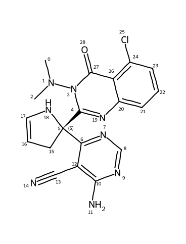 CN(C)n1c([C@@]2(c3ncnc(N)c3C#N)CC=CN2)nc2cccc(Cl)c2c1=O